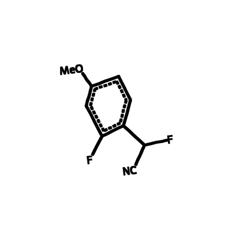 COc1ccc(C(F)C#N)c(F)c1